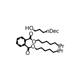 CC(C)CCCCCOC(=O)c1ccccc1C(=O)OCCCCCC(C)C.CCCCCCCCCCCCCO